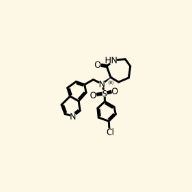 O=C1NCCCC[C@H]1N(Cc1ccc2ccncc2c1)S(=O)(=O)c1ccc(Cl)cc1